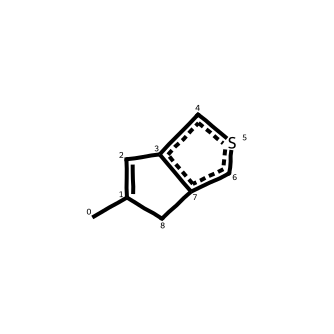 CC1=Cc2cscc2C1